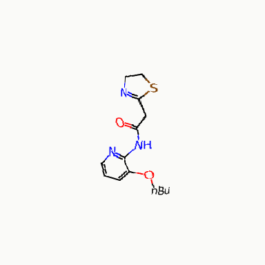 CCCCOc1cccnc1NC(=O)CC1=NCCS1